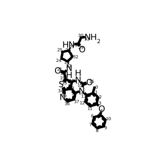 Cc1cc(Oc2ccccc2)ccc1N1C(=O)Nc2c(C(=O)N[C@@H]3CC[C@@H](NC(=O)CN)C3)sc3nccc1c23